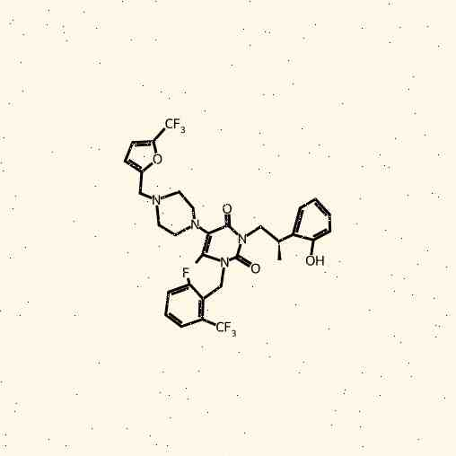 Cc1c(N2CCN(Cc3ccc(C(F)(F)F)o3)CC2)c(=O)n(C[C@H](C)c2ccccc2O)c(=O)n1Cc1c(F)cccc1C(F)(F)F